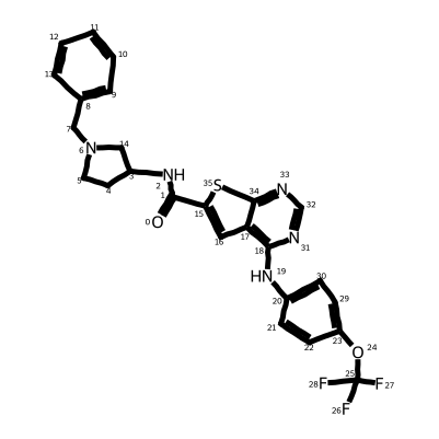 O=C(NC1CCN(Cc2ccccc2)C1)c1cc2c(Nc3ccc(OC(F)(F)F)cc3)ncnc2s1